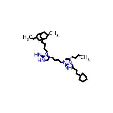 CCCC[C@H]1CN(CCCC[C@H]2CNC(=N)N2CCCCC23CC(C)CC(CC(CC)C2)C3)C(=N)N1CCCCC1CCCCC1